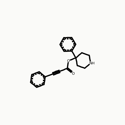 O=C(C#Cc1ccccc1)OC1(c2ccccc2)CCNCC1